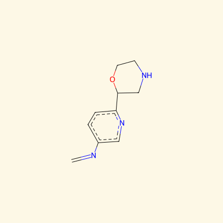 C=Nc1ccc(C2CNCCO2)nc1